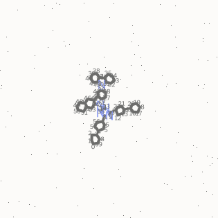 c1ccc(-c2ccc(-c3nc(-c4ccc(-c5ccccc5)cc4)nc(-n4c5ccc(-n6c7ccccc7c7ccccc76)cc5c5cc6ccccc6cc54)n3)cc2)cc1